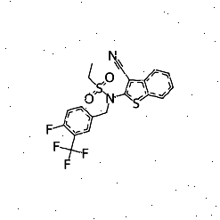 CCS(=O)(=O)N(Cc1ccc(F)c(C(F)(F)F)c1)c1sc2ccccc2c1C#N